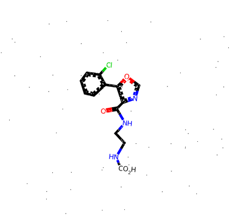 O=C(O)NCCNC(=O)c1ncoc1-c1ccccc1Cl